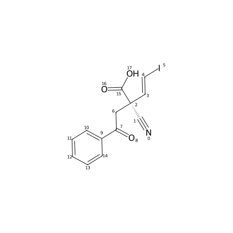 N#C[C@](/C=C/I)(CC(=O)c1ccccc1)C(=O)O